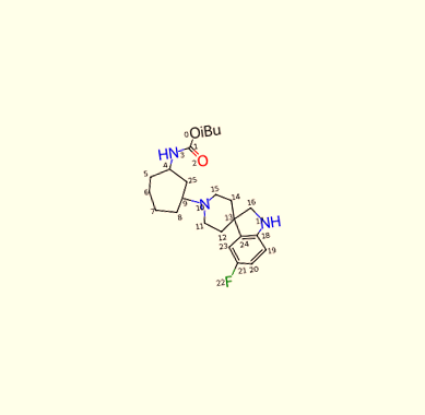 CC(C)COC(=O)NC1CCCCC(N2CCC3(CC2)CNc2ccc(F)cc23)C1